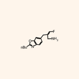 CCCCc1nc2ccc(CC(=CF)CN)cc2o1